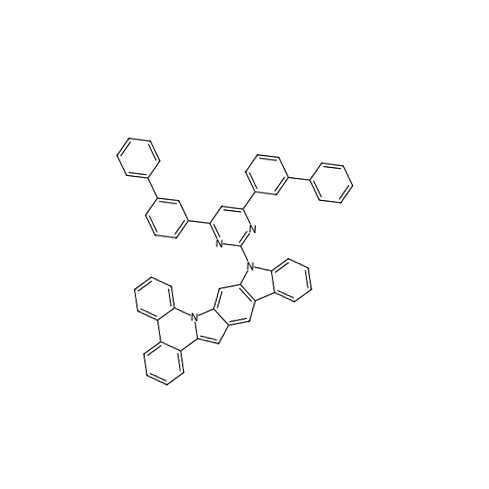 c1ccc(-c2cccc(-c3cc(-c4cccc(-c5ccccc5)c4)nc(-n4c5ccccc5c5cc6cc7c8ccccc8c8ccccc8n7c6cc54)n3)c2)cc1